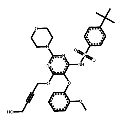 COc1ccccc1Oc1c(NS(=O)(=O)c2ccc(C(C)(C)C)cc2)nc(N2CCOCC2)nc1OCC#CCO